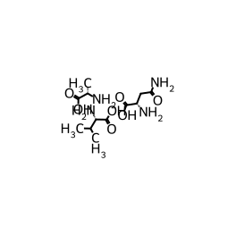 CC(C)[C@H](N)C(=O)O.C[C@H](N)C(=O)O.NC(=O)C[C@H](N)C(=O)O